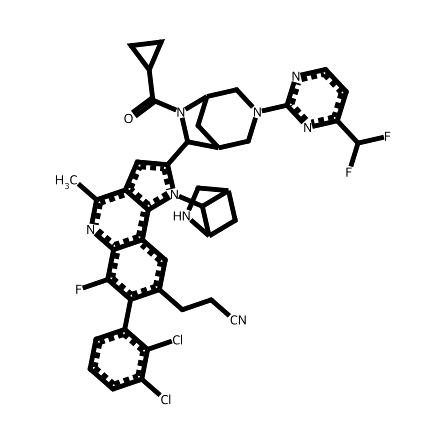 Cc1nc2c(F)c(-c3cccc(Cl)c3Cl)c(CCC#N)cc2c2c1cc(C1C3CC(CN(c4nccc(C(F)F)n4)C3)N1C(=O)C1CC1)n2C1C2CNC1C2